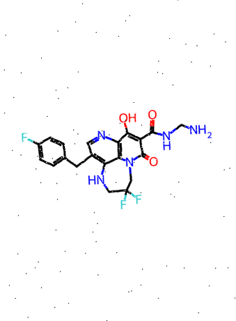 NCNC(=O)c1c(O)c2ncc(Cc3ccc(F)cc3)c3c2n(c1=O)CC(F)(F)CN3